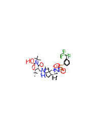 CC(C)(C)CC(CN[C@H]1CC[C@@H]2CN(S(=O)(=O)c3cccc(C(F)(F)F)c3)C[C@@H]21)C(=O)N(C(=O)O)C(C)(C)C